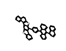 c1ccc2c(-c3c4ccccc4c(-c4ccc(-c5c6oc7ccc8ccccc8c7c6cc6oc7ccccc7c56)cc4)c4ccccc34)cccc2c1